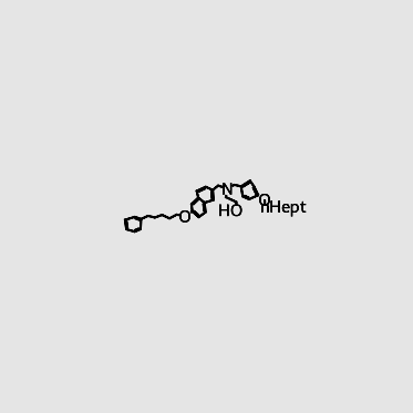 CCCCCCCOc1ccc(CN(CCO)Cc2ccc3cc(OCCCCCc4ccccc4)ccc3c2)cc1